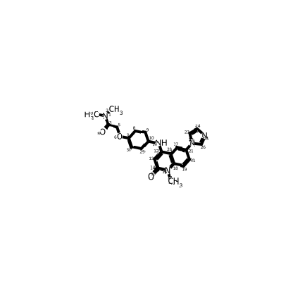 CN(C)C(=O)COC1CCC(Nc2cc(=O)n(C)c3ccc(-n4ccnc4)cc23)CC1